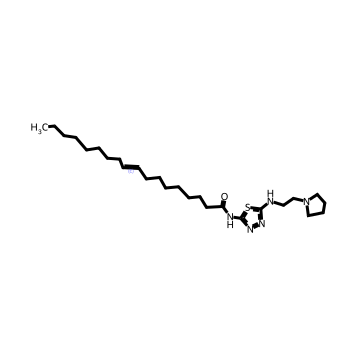 CCCCCCCC/C=C/CCCCCCCC(=O)Nc1nnc(NCCN2CCCC2)s1